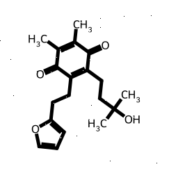 CC1=C(C)C(=O)C(CCC(C)(C)O)=C(CCc2ccco2)C1=O